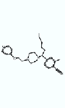 CCCCCC(c1ccc(C#N)c(C)c1)N1CCN(CCOc2ccncc2)CC1